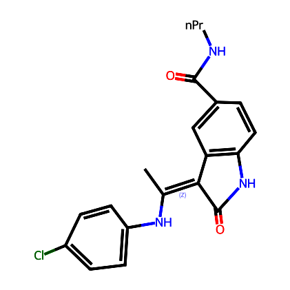 CCCNC(=O)c1ccc2c(c1)/C(=C(\C)Nc1ccc(Cl)cc1)C(=O)N2